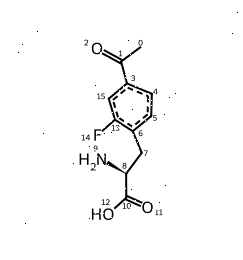 CC(=O)c1ccc(C[C@H](N)C(=O)O)c(F)c1